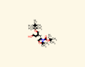 CC(C)(C)OC(=O)N1[C@@H](C[C@@H](CCO)CO[Si](C)(C)C(C)(C)C)COC1(C)C